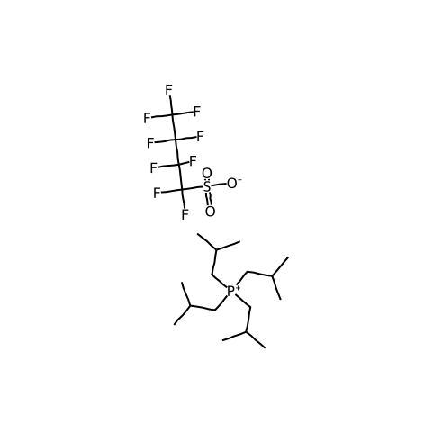 CC(C)C[P+](CC(C)C)(CC(C)C)CC(C)C.O=S(=O)([O-])C(F)(F)C(F)(F)C(F)(F)C(F)(F)F